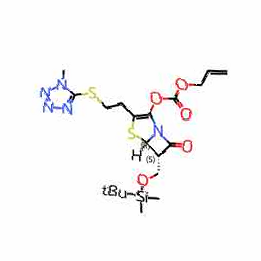 C=CCOC(=O)OC1=C(CCSc2nnnn2C)S[C@@H]2[C@@H](CO[Si](C)(C)C(C)(C)C)C(=O)N12